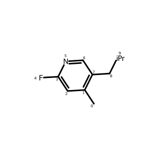 Cc1cc(F)ncc1CC(C)C